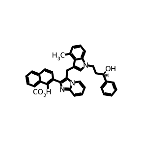 Cc1cccc2c1c(Cc1c(-c3ccc4ccccc4c3C(=O)O)nc3ccccn13)cn2CC[C@@H](O)c1ccccc1